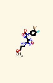 COCCCNc1nonc1-c1noc(=O)n1-c1ccc(F)c(Br)c1